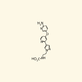 Nc1ccc(Oc2ccnc(-c3cnn(CCNC(=O)O)c3)c2)cn1